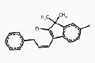 CCC1=C(/C=C\Cc2ccccc2)c2ccc(I)cc2C1(C)C